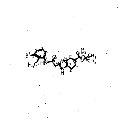 Cc1c(Br)cccc1NC(=O)Cc1nc2c([nH]1)CCN(C(=O)OC(C)(C)C)C2